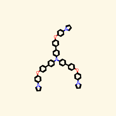 c1ccn(-c2ccc(Oc3ccc(-c4ccc(N(c5ccc(-c6ccc(Oc7ccc(-n8cccc8)cc7)cc6)cc5)c5ccc(-c6ccc(Oc7ccc(-n8cccc8)cc7)cc6)cc5)cc4)cc3)cc2)c1